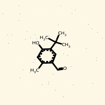 Cc1cc(O)c(C(C)(C)C)cc1C=O